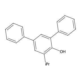 CC(C)c1cc(-c2ccccc2)cc(-c2ccccc2)c1O